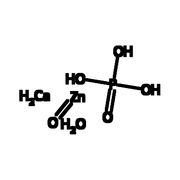 O.O=P(O)(O)O.[CaH2].[O]=[Zn]